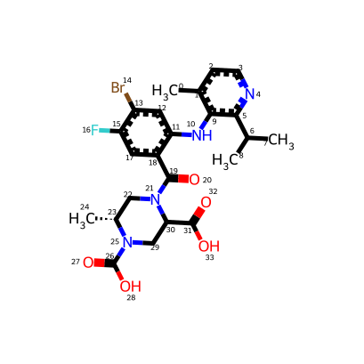 Cc1ccnc(C(C)C)c1Nc1cc(Br)c(F)cc1C(=O)N1C[C@@H](C)N(C(=O)O)CC1C(=O)O